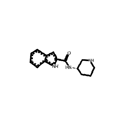 O=C(N[C@H]1CCCNC1)c1cc2ccccc2[nH]1